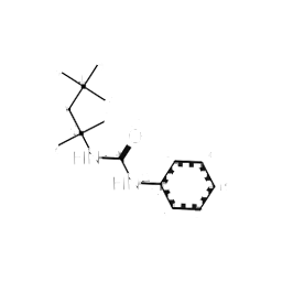 CC(C)(C)CC(C)(C)NC(=O)Nc1ccccc1